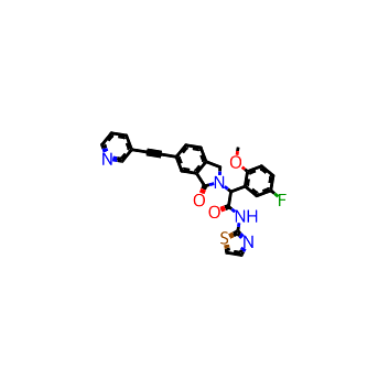 COc1ccc(F)cc1C(C(=O)Nc1nccs1)N1Cc2ccc(C#Cc3cccnc3)cc2C1=O